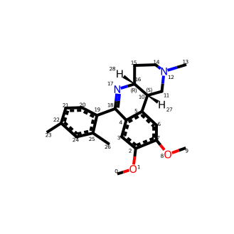 COc1cc2c(cc1OC)[C@H]1CN(C)CC[C@H]1N=C2c1ccc(C)cc1C